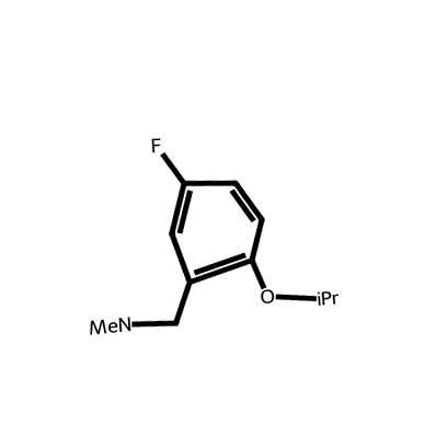 CNCc1cc(F)ccc1OC(C)C